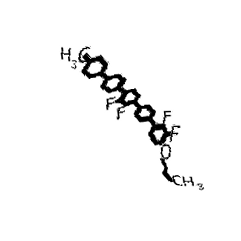 C/C=C\CCOc1ccc(-c2ccc(-c3ccc(C4=CCC(C5CCC(C)CC5)CC4)c(F)c3F)cc2)c(F)c1F